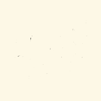 NCC1O[C@H](OP(=O)(O)OP(=O)(O)OCC2OC(N3C=CC(O)NC3=O)[C@H](O)[C@@H]2O)[C@@H](O)C(O)[C@H]1O